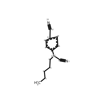 CCCCCN(C#N)c1ccc(C#N)cc1